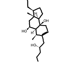 CCC[C@H](O)CC1=CC[C@]2(O)[C@@H]([C@@H]1C)[C@@H](O)C[C@]1(C)[C@@H](CC)CC[C@H]12